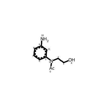 CC(=O)N(CCO)c1cccc(N)c1